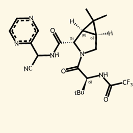 CC(C)(C)[C@H](NC(=O)C(F)(F)F)C(=O)N1C[C@H]2[C@@H]([C@H]1C(=O)NC(C#N)c1cnccn1)C2(C)C